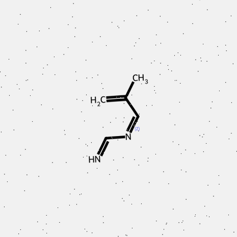 C=C(C)/C=N\C=N